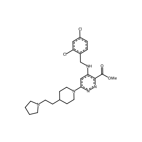 COC(=O)c1nnc(N2CCC(CCN3CCCC3)CC2)cc1NCc1ccc(Cl)cc1Cl